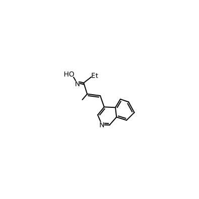 CCC(=NO)/C(C)=C/c1cncc2ccccc12